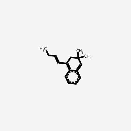 CCC=CC1=c2ccccc2=CC(C)(C)C1